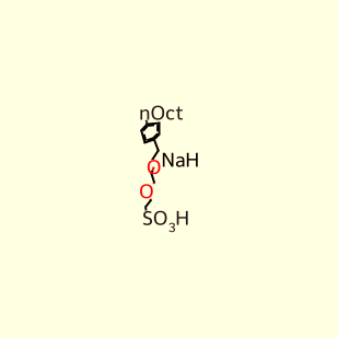 CCCCCCCCc1ccc(CCOCCOCCS(=O)(=O)O)cc1.[NaH]